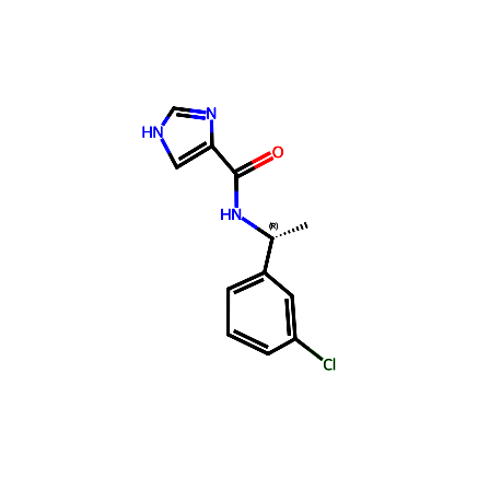 C[C@@H](NC(=O)c1c[nH]cn1)c1cccc(Cl)c1